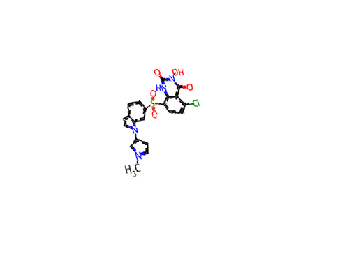 Cn1ccc(-n2ccc3ccc(S(=O)(=O)c4ccc(Cl)c5c(=O)n(O)c(=O)[nH]c45)cc32)c1